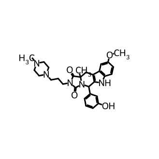 COc1ccc2[nH]c3c(c2c1)CC1(C)C(=O)N(CCCN2CCN(C)CC2)C(=O)N1C3c1cccc(O)c1